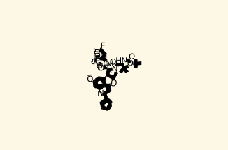 COc1ccc2c(O[C@@H]3C[C@@H](C(=O)NC(CC(F)F)P(=O)(O)O)N(C(=O)[C@@H](NC(=O)OC(C)(C)C)C(C)(C)C)C3)cc(-c3ccccc3)nc2c1